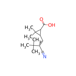 CC(C)(C)/C(C#N)=C\C1C(C(=O)O)C1(C)C